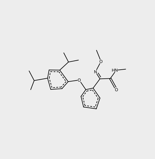 CNC(=O)C(=NOC)c1ccccc1Oc1ccc(C(C)C)cc1C(C)C